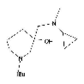 CCC(C)N1CCC[C@@](O)(CN(C)C2CC2)C1